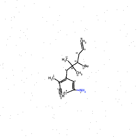 C#C/C(C)=C(\C=C(\N)CC)CC(C)(C)C(CC=C)CCCC